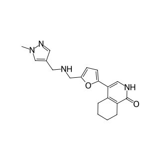 Cn1cc(CNCc2ccc(-c3c[nH]c(=O)c4c3CCCC4)o2)cn1